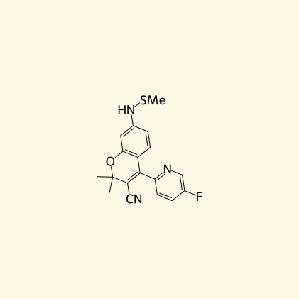 CSNc1ccc2c(c1)OC(C)(C)C(C#N)=C2c1ccc(F)cn1